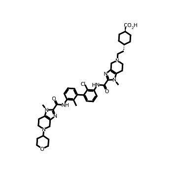 Cc1c(NC(=O)c2nc3c(n2C)CCN(C2CCOCC2)C3)cccc1-c1cccc(NC(=O)c2nc3c(n2C)CCN(CC[C@H]2CC[C@H](C(=O)O)CC2)C3)c1Cl